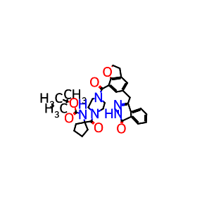 CC(C)(C)OC(=O)NC1(C(=O)N2CCN(C(=O)c3cc(Cc4n[nH]c(=O)c5ccccc45)cc4c3OCC4)CC2)CCCC1